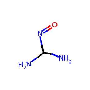 NC(N)N=O